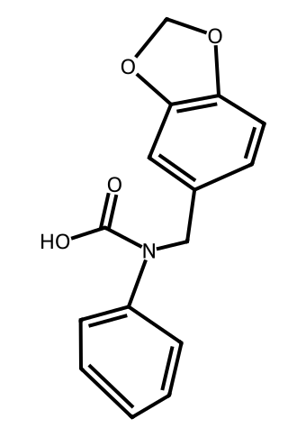 O=C(O)N(Cc1ccc2c(c1)OCO2)c1ccccc1